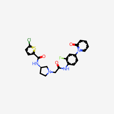 O=C(CN1CC[C@@H](NC(=O)c2ccc(Cl)s2)C1)Nc1ccc(-n2ccccc2=O)cc1F